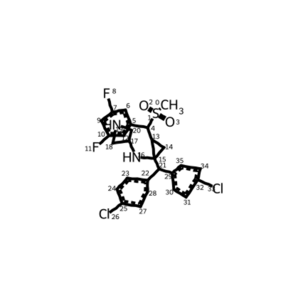 CS(=O)(=O)C(c1cc(F)cc(F)c1)C1CC1(NC1CNC1)C(c1ccc(Cl)cc1)c1ccc(Cl)cc1